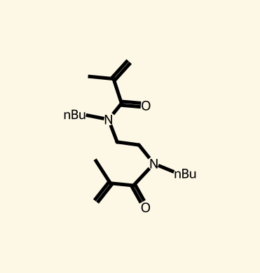 C=C(C)C(=O)N(CCCC)CCN(CCCC)C(=O)C(=C)C